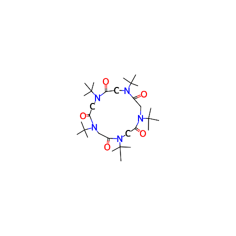 CC(C)(C)N1CC(=O)N(C(C)(C)C)CC(=O)N(C(C)(C)C)CC(=O)N(C(C)(C)C)CC(=O)N(C(C)(C)C)CC1=O